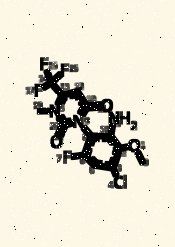 COc1c(Cl)cc(F)c(-n2c(=O)cc(C(F)(F)F)n(C)c2=O)c1N